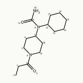 CCC(=O)N1CCC(N(C(N)=O)C2CCCCC2)CC1